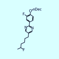 CCCCCCCCCCOc1ccc(-c2ncc(CCCCC(C)F)cn2)cc1F